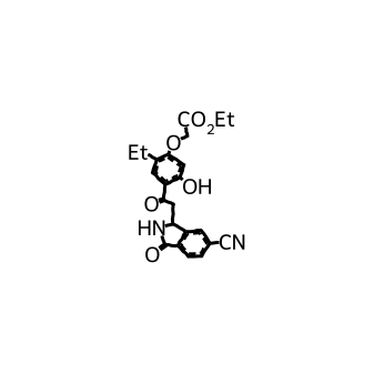 CCOC(=O)COc1cc(O)c(C(=O)CC2NC(=O)c3ccc(C#N)cc32)cc1CC